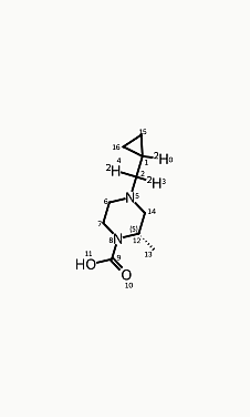 [2H]C1(C([2H])([2H])N2CCN(C(=O)O)[C@@H](C)C2)CC1